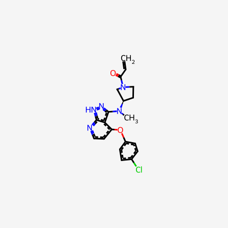 C=CC(=O)N1CC[C@@H](N(C)c2n[nH]c3nccc(Oc4ccc(Cl)cc4)c23)C1